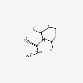 CC1CCCC(C)N1C(=N)NC#N